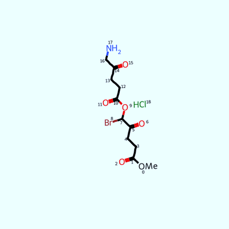 COC(=O)CCC(=O)C(Br)OC(=O)CCC(=O)CN.Cl